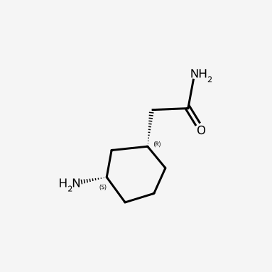 NC(=O)C[C@@H]1CCC[C@H](N)C1